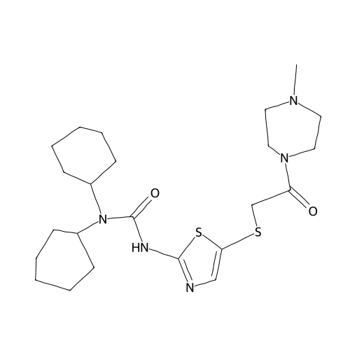 CN1CCN(C(=O)CSc2cnc(NC(=O)N(C3CCCCC3)C3CCCCC3)s2)CC1